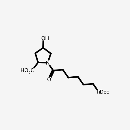 CCCCCCCCCCCCCCCC(=O)N1CC(O)CC1C(=O)O